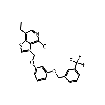 CCc1cnc(Cl)c2c(COc3cccc(OCc4cccc(C(F)(F)F)c4)c3)csc12